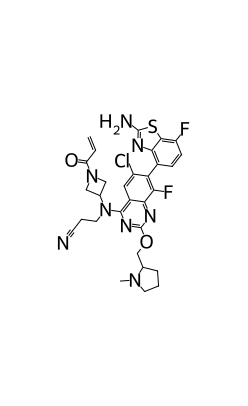 C=CC(=O)N1CC(N(CCC#N)c2nc(OCC3CCCN3C)nc3c(F)c(-c4ccc(F)c5sc(N)nc45)c(Cl)cc23)C1